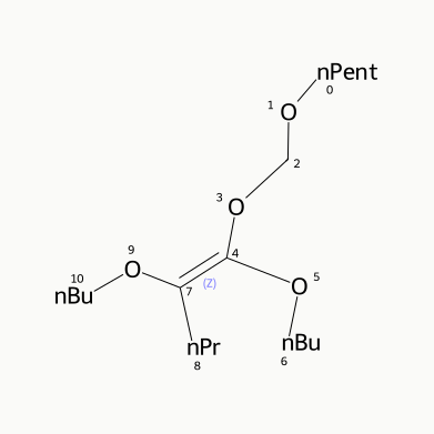 CCCCCOCO/C(OCCCC)=C(/CCC)OCCCC